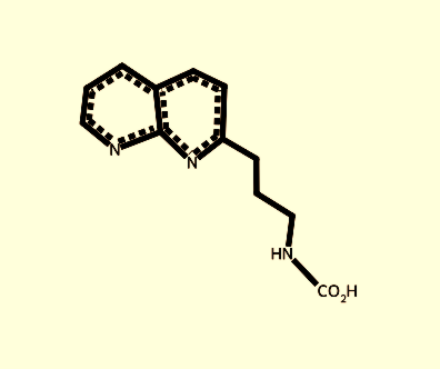 O=C(O)NCCCc1ccc2cccnc2n1